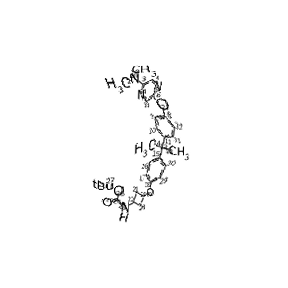 CN(C)c1cnc(Oc2ccc(C(C)(C)c3ccc(OC4CC(NC(=O)OC(C)(C)C)C4)cc3)cc2)cn1